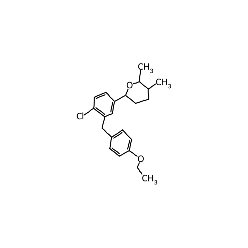 CCOc1ccc(Cc2cc(C3CCC(C)C(C)O3)ccc2Cl)cc1